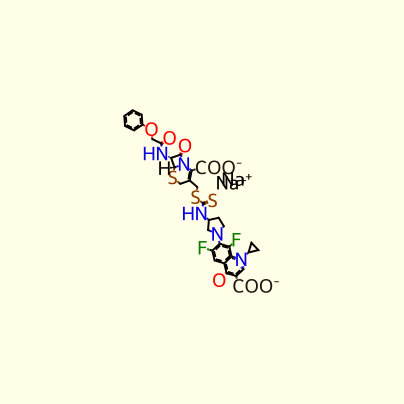 O=C(COc1ccccc1)N[C@@H]1C(=O)N2C(C(=O)[O-])=C(CSC(=S)NC3CCN(c4c(F)cc5c(=O)c(C(=O)[O-])cn(C6CC6)c5c4F)C3)CS[C@H]12.[Na+].[Na+]